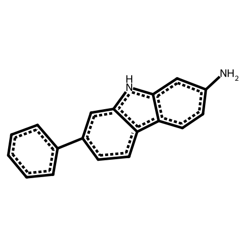 Nc1ccc2c(c1)[nH]c1cc(-c3ccccc3)ccc12